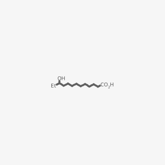 CCC(O)CCCCCCCCCC(=O)O